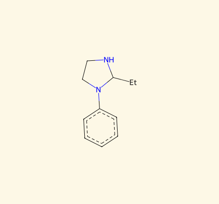 CCC1NCCN1c1ccccc1